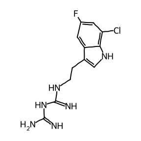 N=C(N)NC(=N)NCCc1c[nH]c2c(Cl)cc(F)cc12